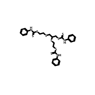 S=C(Nc1ccccc1)SCCSCC(CSC(=S)Nc1ccccc1)SCCSC(=S)Nc1ccccc1